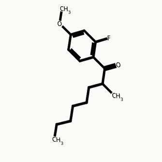 CCCCCCC(C)C(=O)c1ccc(OC)cc1F